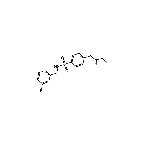 CCNCc1ccc(S(=O)(=O)NCc2cccc(F)c2)cc1